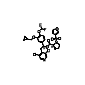 O=C(O[C@@H](Cc1c(Cl)cncc1Cl)c1ccc(OC(F)F)c(OCC2CC2)c1)[C@@H]1SCCN1S(=O)(=O)c1ccoc1